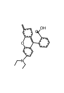 C=c1ccc2c(c1)Oc1cc(N(CC)CC)ccc1C=2c1ccccc1C(=O)O